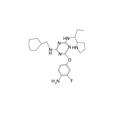 CCC(Nc1nc(NCC2CCCCC2)nc(Oc2ccc(N)c(F)c2)n1)C1CCCN1